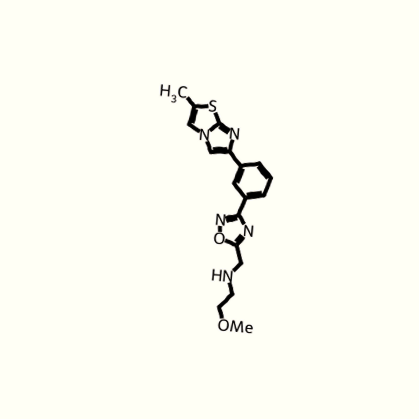 COCCNCc1nc(-c2cccc(-c3cn4cc(C)sc4n3)c2)no1